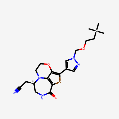 C[Si](C)(C)CCOCn1cc(-c2sc3c4c2OCCN4[C@H](CC#N)CNC3=O)cn1